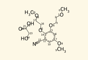 COCCOc1cc(OC)cc(C#N)c1OCCOC.O=C(O)CO